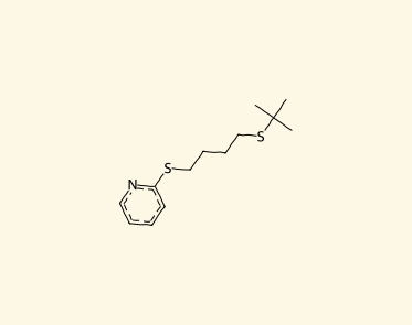 CC(C)(C)SCCCCSc1ccccn1